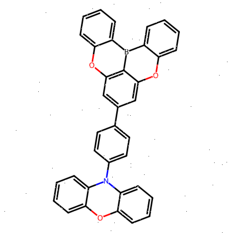 c1ccc2c(c1)Oc1cc(-c3ccc(N4c5ccccc5Oc5ccccc54)cc3)cc3c1B2c1ccccc1O3